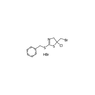 Br.ClC1(CBr)CN=C(SCc2ccccc2)S1